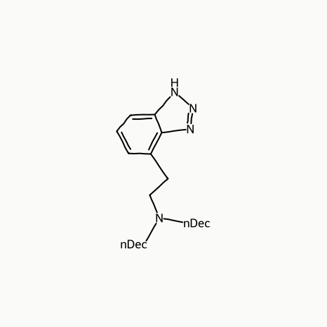 CCCCCCCCCCN(CCCCCCCCCC)CCc1cccc2[nH]nnc12